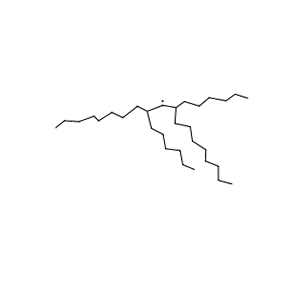 CCCCCCCCC([CH]C(CCCCCC)CCCCCCCC)CCCCCC